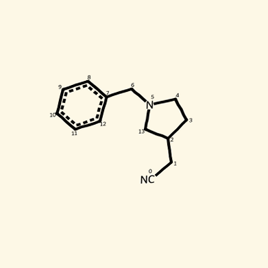 N#CCC1CCN(Cc2ccccc2)C1